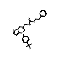 O=C(NCCc1ccccn1)NC[C@H]1CN(c2ccc(C(F)(F)F)cc2)c2ccnn2C1